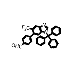 O=Cc1ccc(-c2cc3c(cc2C(F)(F)F)ncn3C(c2ccccc2)(c2ccccc2)c2ccccc2)cc1